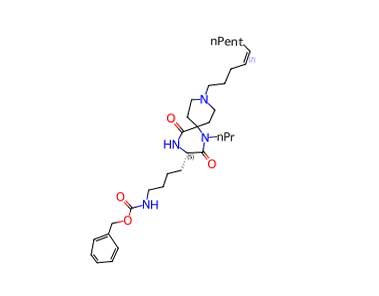 CCCCC/C=C\CCCN1CCC2(CC1)C(=O)N[C@@H](CCCCNC(=O)OCc1ccccc1)C(=O)N2CCC